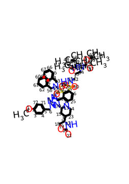 COc1ccc(Cn2nnc(-c3c(N4CCC(C5COC(=O)N5)CC4)ccc(S(=O)(=O)NC[C@@H](CNC(=O)OC(C)(C)C)O[Si](C)(C)C(C)(C)C)c3S(=O)(=O)N(Cc3ccccc3)Cc3ccccc3)n2)cc1